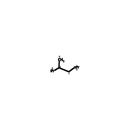 [CH2]CCCC(C)C(C)C